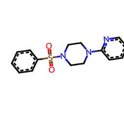 O=S(=O)(c1ccccc1)N1CCN(c2ccccn2)CC1